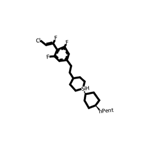 CCCCC[C@H]1CC[C@H]([SiH]2CCC(CCc3cc(F)c(C(F)=CCl)c(F)c3)CC2)CC1